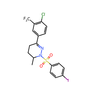 CC1CCC(c2ccc(Cl)c(C(F)(F)F)c2)=NN1S(=O)(=O)c1ccc(I)cc1